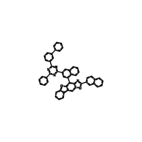 c1ccc(-c2cccc(-c3nc(-c4ccccc4)nc(-c4cc(-c5c6nc(-c7ccc8ccccc8c7)oc6cc6c5oc5ccccc56)c5ccccc5c4)n3)c2)cc1